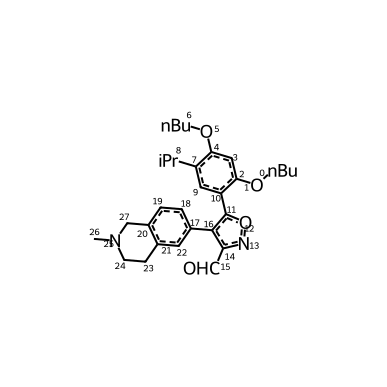 CCCCOc1cc(OCCCC)c(C(C)C)cc1-c1onc(C=O)c1-c1ccc2c(c1)CCN(C)C2